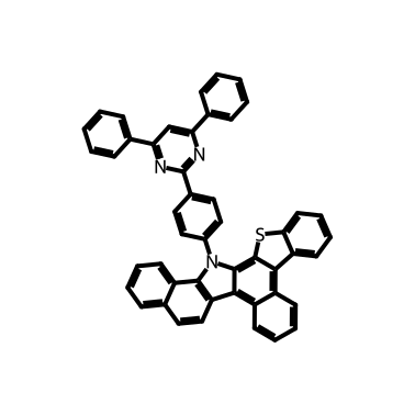 c1ccc(-c2cc(-c3ccccc3)nc(-c3ccc(-n4c5c6ccccc6ccc5c5c6ccccc6c6c7ccccc7sc6c54)cc3)n2)cc1